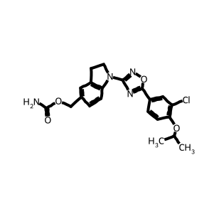 CC(C)Oc1ccc(-c2nc(N3CCc4cc(COC(N)=O)ccc43)no2)cc1Cl